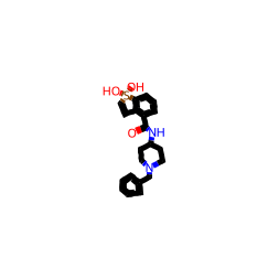 O=C(NC1CCN(Cc2ccccc2)CC1)c1cccc2c1C=CS2(O)O